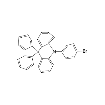 Brc1ccc(N2c3ccccc3C(c3ccccc3)(c3ccccc3)c3ccccc32)cc1